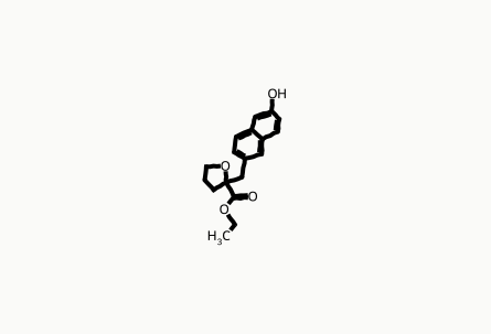 CCOC(=O)C1(Cc2ccc3cc(O)ccc3c2)CCCO1